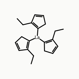 CCC1=[C]([La]([C]2=C(CC)C=CC2)[C]2=C(CC)C=CC2)CC=C1